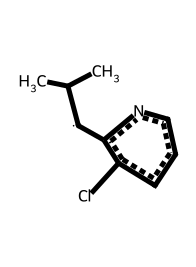 CC(C)[CH]c1ncccc1Cl